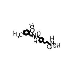 Cc1ccc(O)c(/C=N/NC(=O)c2ccc(/C=C/C(=O)NO)cc2)c1